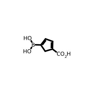 O=C(O)C1=CC=C(B(O)O)C1